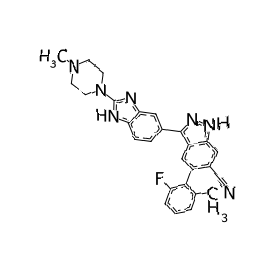 Cc1cccc(F)c1-c1cc2c(-c3ccc4[nH]c(N5CCN(C)CC5)nc4c3)n[nH]c2cc1C#N